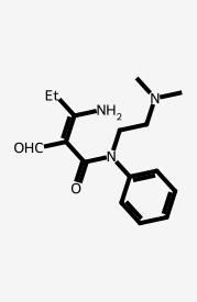 CCC(N)=C(C=O)C(=O)N(CCN(C)C)c1ccccc1